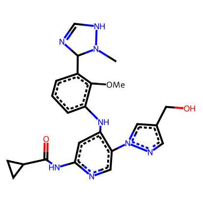 COc1c(Nc2cc(NC(=O)C3CC3)ncc2-n2cc(CO)cn2)cccc1C1N=CNN1C